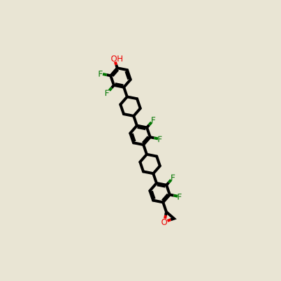 Oc1ccc(C2CCC(c3ccc(C4CCC(c5ccc(C6CO6)c(F)c5F)CC4)c(F)c3F)CC2)c(F)c1F